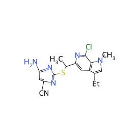 CCc1cn(C)c2c(Cl)nc(C(C)Sc3nc(N)cc(C#N)n3)cc12